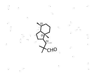 C[C@H]1CCC[C@@]2(C)C1CCC2[C@H](C)C(C)(C)C=O